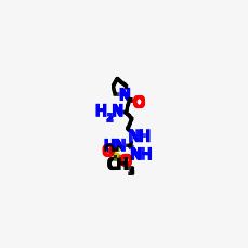 CS(=O)(=O)NC(=N)NCCC(N)C(=O)N1CCCC1